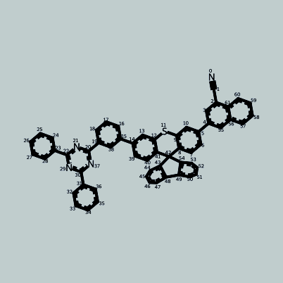 N#Cc1cc(-c2ccc3c(c2)Sc2cc(-c4cccc(-c5nc(-c6ccccc6)nc(-c6ccccc6)n5)c4)ccc2C32c3ccccc3-c3ccccc32)cc2ccccc12